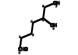 O=CCCCC(O)CO